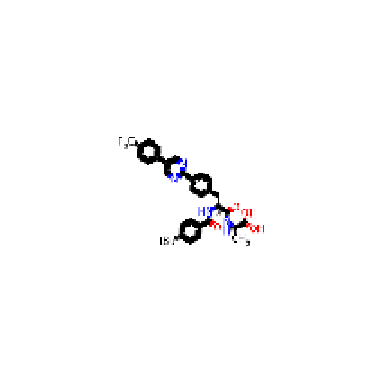 C[C@@H](NC(=O)[C@H](Cc1ccc(-c2ncc(-c3ccc(C(F)(F)F)cc3)cn2)cc1)NC(=O)c1ccc(C(C)(C)C)cc1)C(O)O